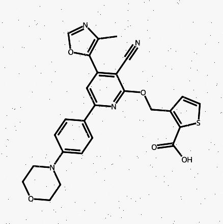 Cc1ncoc1-c1cc(-c2ccc(N3CCOCC3)cc2)nc(OCc2ccsc2C(=O)O)c1C#N